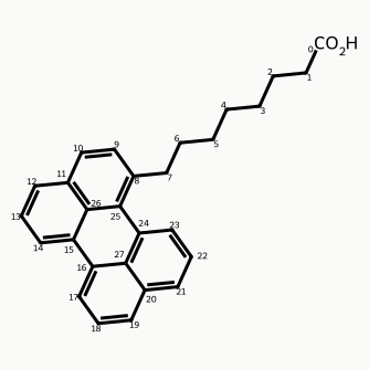 O=C(O)CCCCCCCc1ccc2cccc3c4cccc5cccc(c1c23)c54